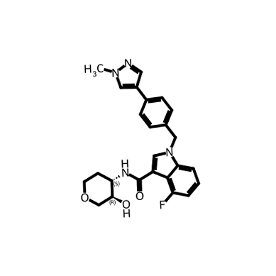 Cn1cc(-c2ccc(Cn3cc(C(=O)N[C@H]4CCOC[C@@H]4O)c4c(F)cccc43)cc2)cn1